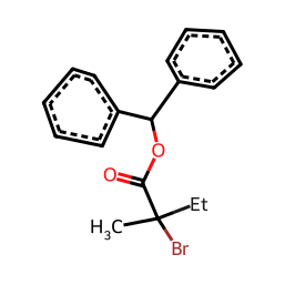 CCC(C)(Br)C(=O)OC(c1ccccc1)c1ccccc1